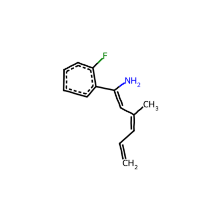 C=C/C=C(C)\C=C(/N)c1ccccc1F